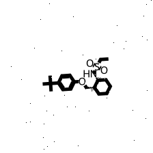 CCS(=O)(=O)N[C@@H]1CCCC[C@H]1COc1ccc(C(C)(C)C)cc1